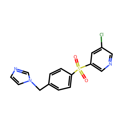 O=S(=O)(c1ccc(Cn2ccnc2)cc1)c1cncc(Cl)c1